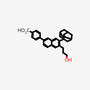 O=C(O)c1ccc(-c2ccc3cc(CCCO)c(C45CC6CC(CC(C6)C4)C5)cc3c2)cc1